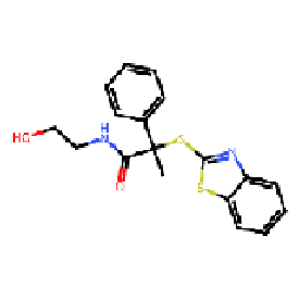 CC(Sc1nc2ccccc2s1)(C(=O)NCCO)c1ccccc1